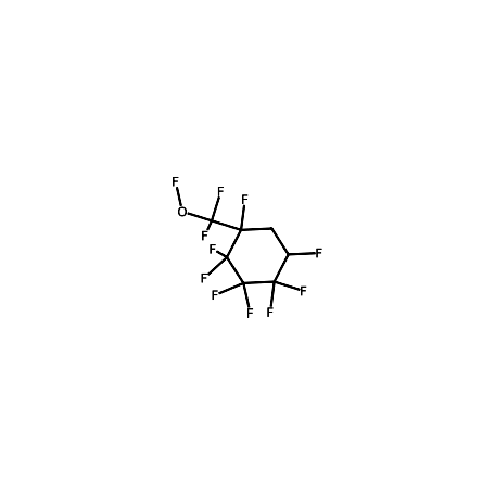 FOC(F)(F)C1(F)CC(F)C(F)(F)C(F)(F)C1(F)F